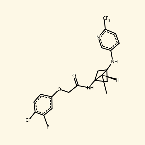 C[C@@H]1C2(NC(=O)COc3ccc(Cl)c(F)c3)CC1(Nc1ccc(C(F)(F)F)nc1)C2